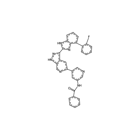 O=C(Nc1cncc(-c2cc3c(-c4nc5c(-c6ccccc6F)cccc5[nH]4)n[nH]c3cn2)c1)c1ccccc1